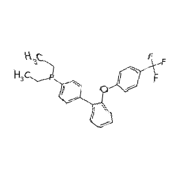 CCP(CC)c1ccc(-c2ccccc2Oc2ccc(C(F)(F)F)cc2)cc1